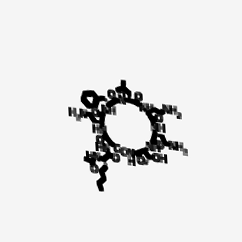 CCCCC[C@H](NC(C)=O)C(=O)N[C@H]1CCNC(=O)[C@H]([C@@H](C)O)NC(=O)[C@H](CCN)NC(=O)[C@H](CCN)NC(=O)[C@H](CC(C)C)NC(=O)[C@@H](Cc2ccccc2)NC(=O)[C@H](CCN)NC1=O